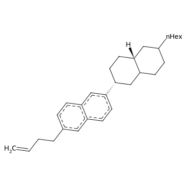 C=CCCc1ccc2cc([C@@H]3CC[C@@H]4CC(CCCCCC)CCC4C3)ccc2c1